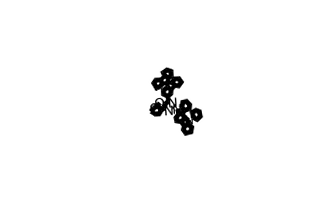 c1ccc(-n2c3ccccc3c3ccc4c(c5ccccc5n4-c4nc(-c5ccc6c(c5)-c5ccccc5C65c6ccccc6-c6ccccc65)c5oc6ccccc6c5n4)c32)cc1